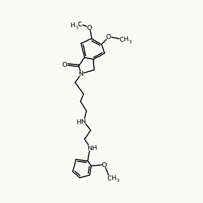 COc1ccccc1NCCNCCCCN1Cc2cc(OC)c(OC)cc2C1=O